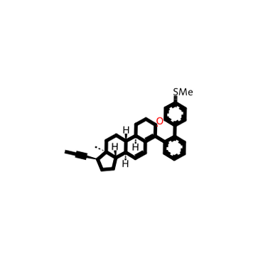 CC#C[C@@H]1CC[C@H]2[C@@H]3C=CC4=C(c5ccccc5-c5ccc(SC)cc5)C(=O)CC[C@@H]4[C@H]3CC[C@]12C